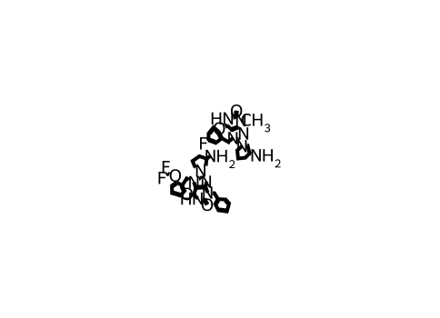 Cn1c(=O)[nH]c(=O)c2c1nc(N1CCCC(N)C1)n2Cc1cccc(F)c1.NC1CCCN(c2nc3c(c(=O)[nH]c(=O)n3Cc3ccccc3)n2Cc2ccccc2OC(F)F)C1